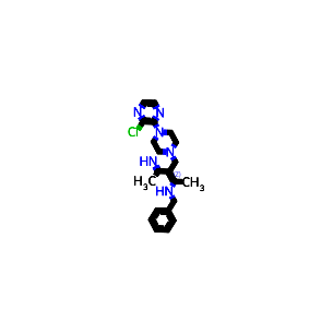 CC(=N)/C(CN1CCN(c2nccnc2Cl)CC1)=C(/C)NCc1ccccc1